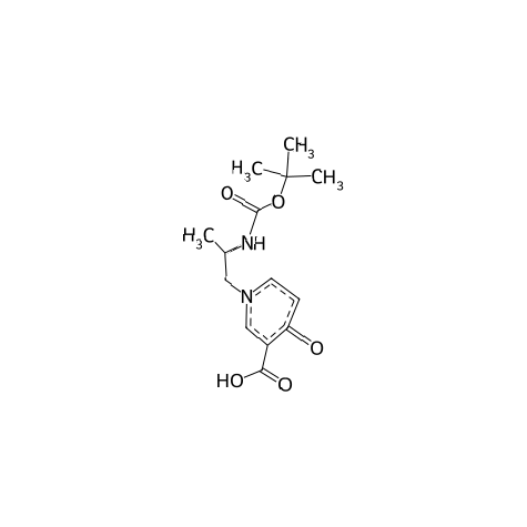 CC(Cn1ccc(=O)c(C(=O)O)c1)NC(=O)OC(C)(C)C